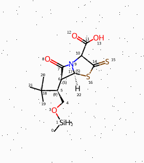 C[SiH](C)OC[C@H]([C@H]1C(=O)N2C(C(=O)O)C(=S)S[C@@H]12)C(C)(C)C